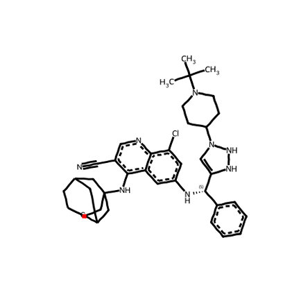 CC(C)(C)N1CCC(N2C=C([C@@H](Nc3cc(Cl)c4ncc(C#N)c(NC56CCC7CC(CC(C7)C5)C6)c4c3)c3ccccc3)NN2)CC1